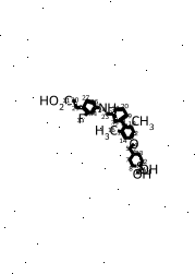 Cc1cc(OCC2CCS(O)(O)CC2)cc(C)c1-c1cccc(CNc2ccc(CCC(=O)O)c(F)c2)c1